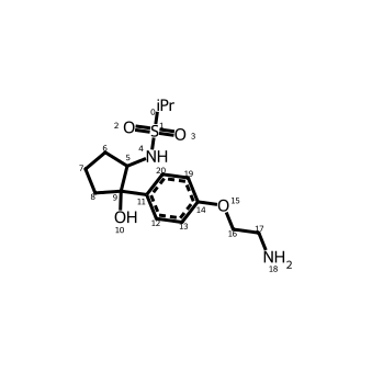 CC(C)S(=O)(=O)NC1CCCC1(O)c1ccc(OCCN)cc1